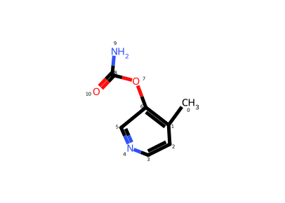 Cc1ccncc1OC(N)=O